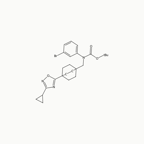 CC(C)(C)OC(=O)N(CC12CCC(c3nc(C4CC4)no3)(CC1)CC2)c1cccc(Br)c1